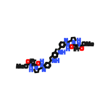 COC(=O)N[C@H](C(=O)N1CCCC1c1nc2ccc(C3Cc4cc5c(cc4N3)NC(c3ccc4nc(C6CCCN6C(=O)[C@H](NC(=O)OC)C(C)C)[nH]c4c3)C5)cc2[nH]1)C(C)C